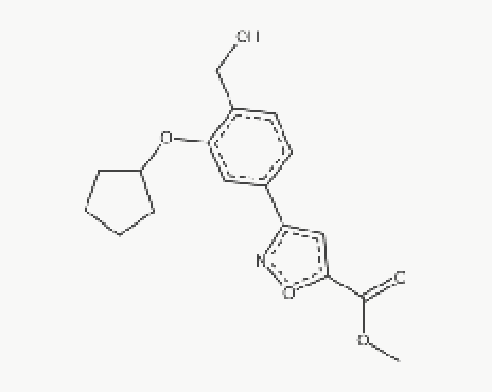 COC(=O)c1cc(-c2ccc(CO)c(OC3CCCC3)c2)no1